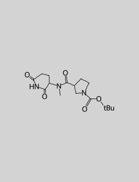 CN(C(=O)C1CCN(C(=O)OC(C)(C)C)C1)C1CCC(=O)NC1=O